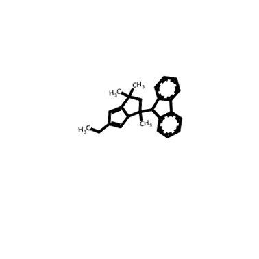 CCC1=CC2C(=C1)C(C)(C)CC2(C)C1c2ccccc2-c2ccccc21